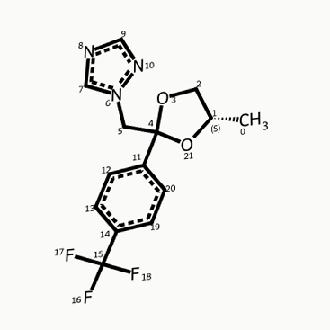 C[C@H]1COC(Cn2cncn2)(c2ccc(C(F)(F)F)cc2)O1